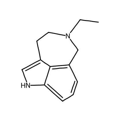 CCN1CCc2c[nH]c3cccc(c23)C1